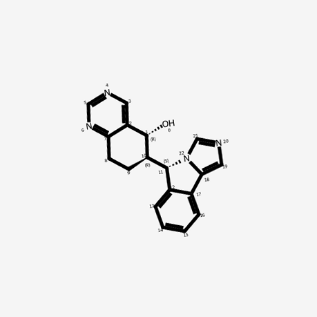 O[C@H]1c2cncnc2CC[C@@H]1[C@H]1c2ccccc2-c2cncn21